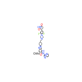 COc1cc2nn(C3CCC(CCN4CCN(c5c(F)cc(C6CCC(=O)NC6=O)cc5F)CC4)CC3)cc2cc1C(=O)Nc1cnc2cccnn12